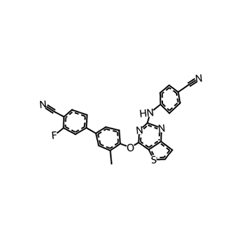 Cc1cc(-c2ccc(C#N)c(F)c2)ccc1Oc1nc(Nc2ccc(C#N)cc2)nc2ccsc12